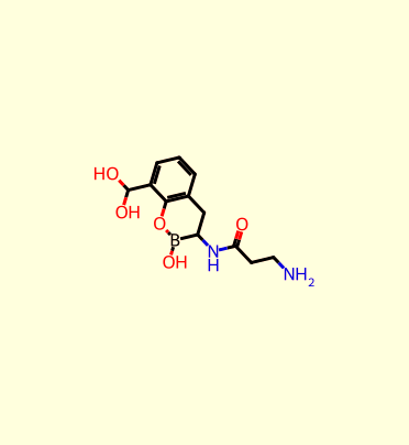 NCCC(=O)NC1Cc2cccc(C(O)O)c2OB1O